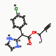 C#CC(I)OC(=O)C(c1ccc(Cl)cc1)c1ncc[nH]1